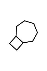 C1CC[C]2CCC2CC1